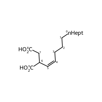 CCCCCCCCCC/C=C\C(CC(=O)O)C(=O)O